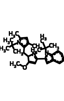 COC1=CC(c2cc3ccccc3n2C(C)(C)C)=NC1Cc1c(C)cc(C)n1C(C)(C)C